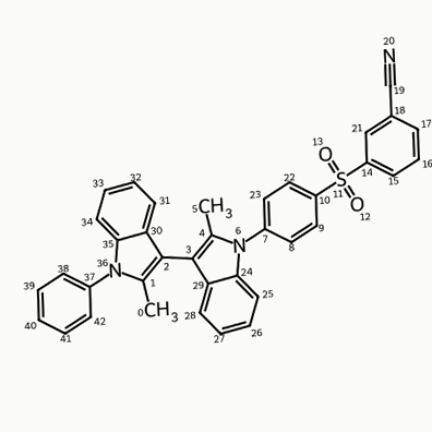 Cc1c(-c2c(C)n(-c3ccc(S(=O)(=O)c4cccc(C#N)c4)cc3)c3ccccc23)c2ccccc2n1-c1ccccc1